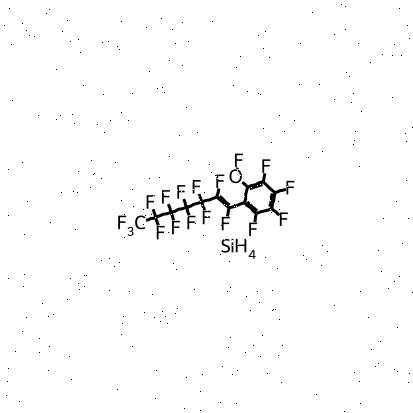 FOc1c(F)c(F)c(F)c(F)c1C(F)=C(F)C(F)(F)C(F)(F)C(F)(F)C(F)(F)C(F)(F)F.[SiH4]